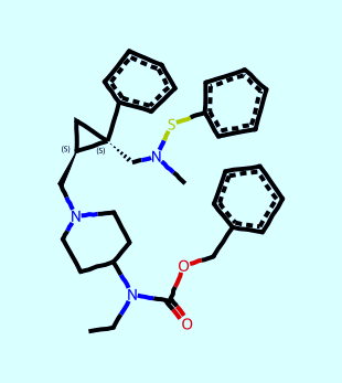 CCN(C(=O)OCc1ccccc1)C1CCN(C[C@H]2C[C@@]2(CN(C)Sc2ccccc2)c2ccccc2)CC1